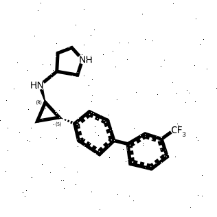 FC(F)(F)c1cccc(-c2ccc([C@@H]3C[C@H]3NC3CCNC3)cc2)c1